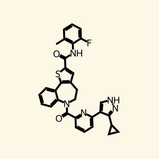 Cc1cccc(F)c1NC(=O)c1cc2c(s1)-c1ccccc1N(C(=O)c1cccc(-c3c[nH]nc3C3CC3)n1)CC2